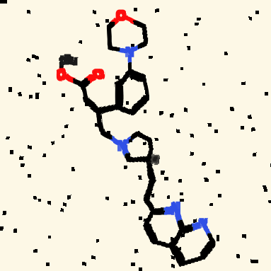 CC(C)(C)OC(=O)CC(CN1CC[C@@H](CCc2ccc3cccnc3n2)C1)c1cccc(N2CCOCC2)c1